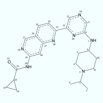 CC(C)N1CCC(Nc2cncc(-c3ccc4cnc(NC(=O)C5CC5)cc4n3)n2)CC1